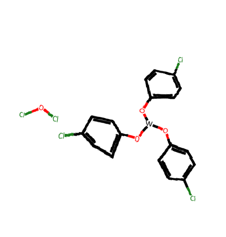 ClOCl.Clc1ccc([O][W]([O]c2ccc(Cl)cc2)[O]c2ccc(Cl)cc2)cc1